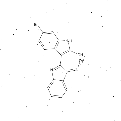 CC(=O)O/N=C1\C(c2c(O)[nH]c3cc(Br)ccc23)=Nc2ccccc21